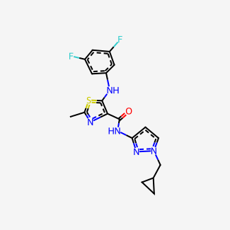 Cc1nc(C(=O)Nc2ccn(CC3CC3)n2)c(Nc2cc(F)cc(F)c2)s1